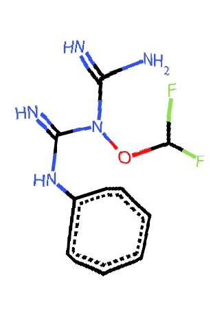 N=C(N)N(OC(F)F)C(=N)Nc1ccccc1